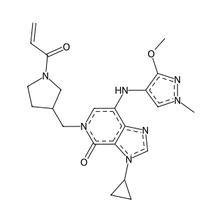 C=CC(=O)N1CCC(Cn2cc(Nc3cn(C)nc3OC)c3ncn(C4CC4)c3c2=O)C1